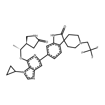 C[C@@H](Oc1nc(-c2ccc3c(c2)NC(=O)C32CCN(CC(F)(F)F)CC2)cc2ncn(C3CC3)c12)[C@H]1CNC(=O)C1